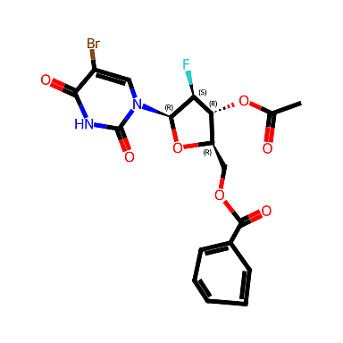 CC(=O)O[C@H]1[C@H](F)[C@H](n2cc(Br)c(=O)[nH]c2=O)O[C@@H]1COC(=O)c1ccccc1